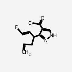 C=CCC(C=CF)c1n[nH]cc1C(=O)Cl